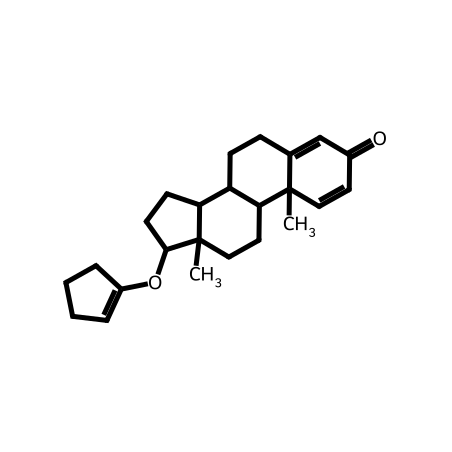 CC12C=CC(=O)C=C1CCC1C2CCC2(C)C(OC3=CCCC3)CCC12